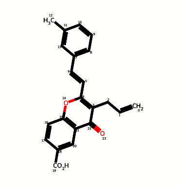 C=CCc1c(/C=C/c2cccc(C)c2)oc2ccc(C(=O)O)cc2c1=O